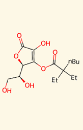 CCCCC(CC)(CC)C(=O)OC1=C(O)C(=O)O[C@@H]1[C@@H](O)CO